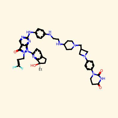 CC[C@@]1(O)CCc2ccc(-n3c4nc(Nc5ccc(NCCNC6CCN(CC7CN(c8ccc(N9CCC(=O)NC9=O)cc8)C7)CC6)cc5)ncc4c(=O)n3CC=C(F)F)nc21